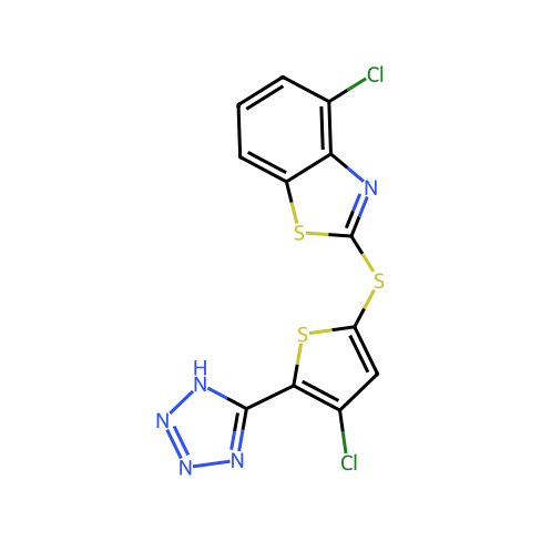 Clc1cc(Sc2nc3c(Cl)cccc3s2)sc1-c1nnn[nH]1